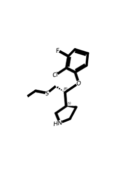 CCSC[C@H](Oc1cccc(F)c1Cl)[C@H]1CCNC1